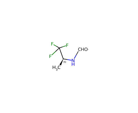 C[C@H](N[C]=O)C(F)(F)F